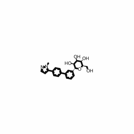 Cn1nccc1-c1ccc(-c2cccc([C@H]3O[C@H](CO)[C@@H](O)[C@H](O)[C@@H]3O)c2)cc1